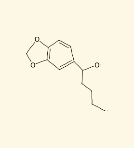 [CH2]CCCC([O])c1ccc2c(c1)OCO2